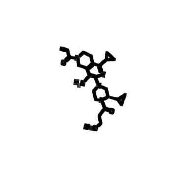 C=CC(=O)N1CCc2c(C3CC3)nc(N3CCN(C(=O)CCOC)[C@H](C4CC4)C3)c(N)c2C1